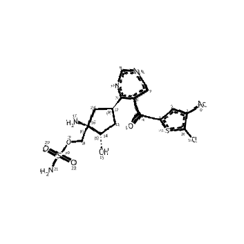 CC(=O)c1cc(C(=O)c2cncnc2[C@H]2C[C@H](O)[C@](N)(COS(N)(=O)=O)C2)sc1Cl